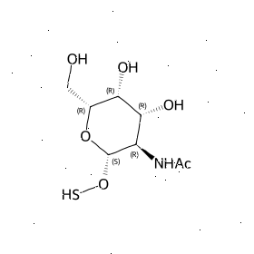 CC(=O)N[C@H]1[C@H](OS)O[C@H](CO)[C@H](O)[C@@H]1O